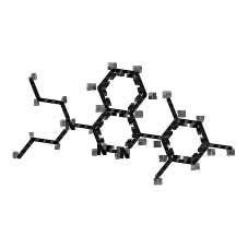 CCCN(CCC)c1nnc(-c2c(C)cc(C)cc2C)c2ccccc12